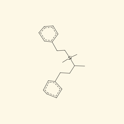 CC(CCc1ccccc1)[Si](C)(C)CCc1ccccc1